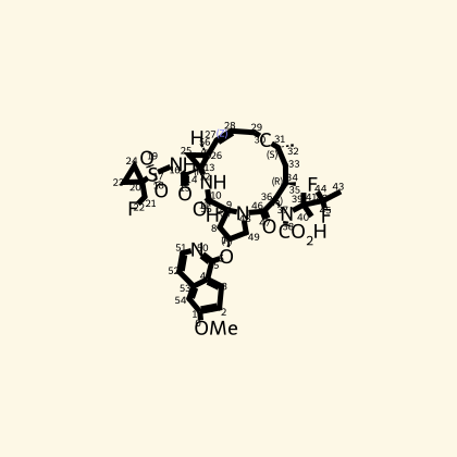 COc1ccc2c(O[C@@H]3C[C@H]4C(=O)N[C@]5(C(=O)NS(=O)(=O)C6(CF)CC6)C[C@H]5/C=C\CC[C@H](C)C[C@@H](C)[C@H](N(C(=O)O)C(C)(C)C(C)(F)F)C(=O)N4C3)nccc2c1